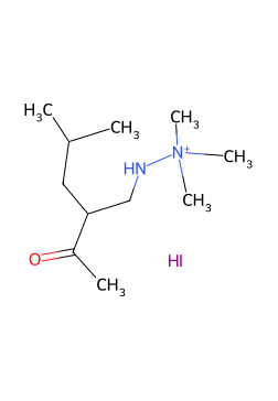 CC(=O)C(CN[N+](C)(C)C)CC(C)C.I